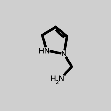 NCN1C=CCN1